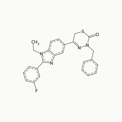 CCn1c(-c2cccc(F)c2)nc2cc(C3=NN(Cc4ccccc4)C(=O)SC3)ccc21